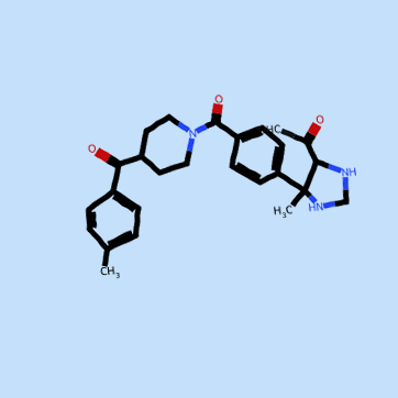 Cc1ccc(C(=O)C2CCN(C(=O)c3ccc(C4(C)NCNC4C(=O)C=O)cc3)CC2)cc1